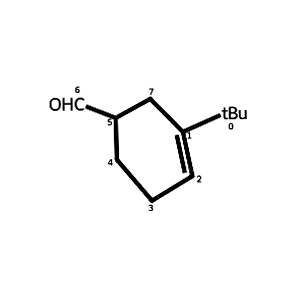 CC(C)(C)C1=CCCC(C=O)C1